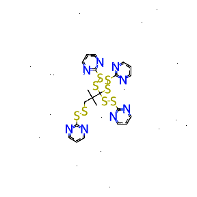 CC(C)(CSSc1ncccn1)C(SSc1ncccn1)(SSc1ncccn1)SSc1ncccn1